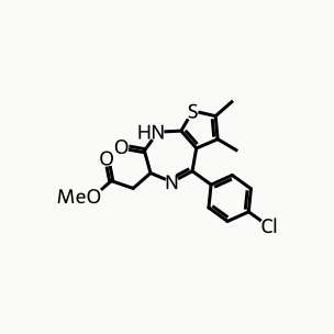 COC(=O)CC1N=C(c2ccc(Cl)cc2)c2c(sc(C)c2C)NC1=O